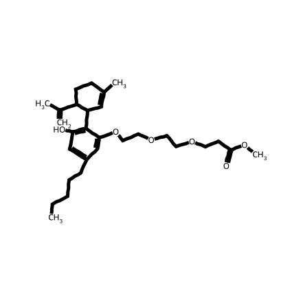 C=C(C)C1CCC(C)=CC1c1c(O)cc(CCCCC)cc1OCCOCCOCCC(=O)OC